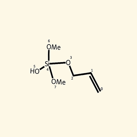 C=CCO[Si](O)(OC)OC